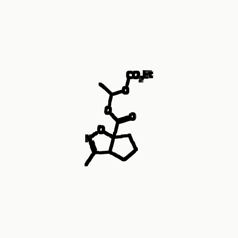 CCOC(=O)OC(C)OC(=O)C12CCCC1C(C)=NO2